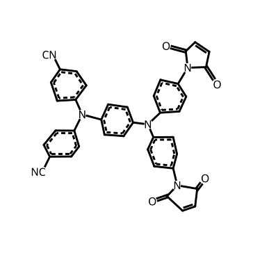 [C-]#[N+]c1ccc(N(c2ccc(C#N)cc2)c2ccc(N(c3ccc(N4C(=O)C=CC4=O)cc3)c3ccc(N4C(=O)C=CC4=O)cc3)cc2)cc1